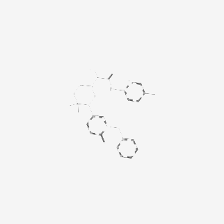 CC(C(=O)Nc1ccc(F)cn1)N1CCC(F)(F)C(c2ccc(=O)n(Cc3ccccc3)c2)C1